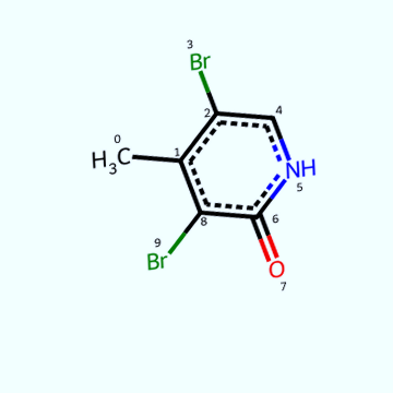 Cc1c(Br)c[nH]c(=O)c1Br